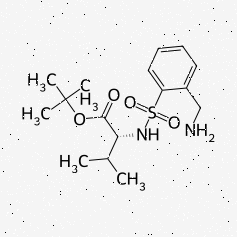 CC(C)[C@@H](NS(=O)(=O)c1ccccc1CN)C(=O)OC(C)(C)C